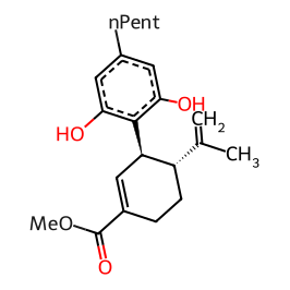 C=C(C)[C@@H]1CCC(C(=O)OC)=C[C@H]1c1c(O)cc(CCCCC)cc1O